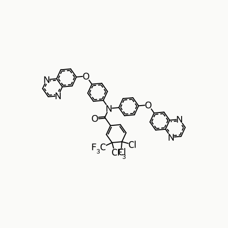 O=C(C1=CC(C(F)(F)F)(C(F)(F)F)C(Cl)(Cl)C=C1)N(c1ccc(Oc2ccc3nccnc3c2)cc1)c1ccc(Oc2ccc3nccnc3c2)cc1